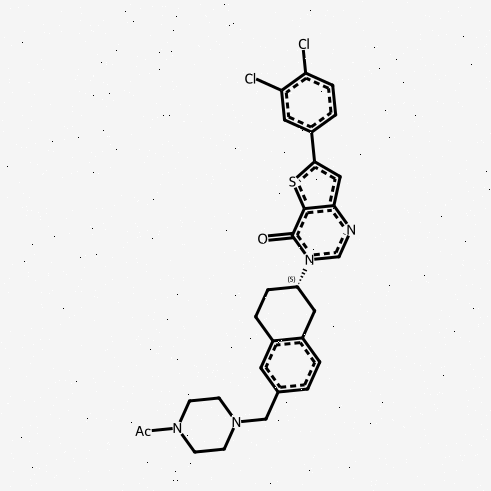 CC(=O)N1CCN(Cc2ccc3c(c2)CC[C@H](n2cnc4cc(-c5ccc(Cl)c(Cl)c5)sc4c2=O)C3)CC1